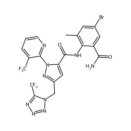 Cc1cc(Br)cc(C(N)=O)c1NC(=O)c1cc(Cn2nnnc2C(F)(F)F)nn1-c1ncccc1C(F)(F)F